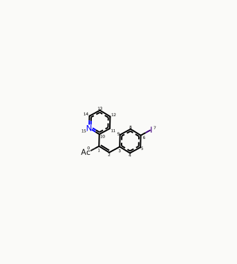 CC(=O)/C(=C/c1ccc(I)cc1)c1ccccn1